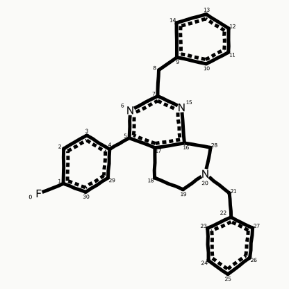 Fc1ccc(-c2nc(Cc3ccccc3)nc3c2CCN(Cc2ccccc2)C3)cc1